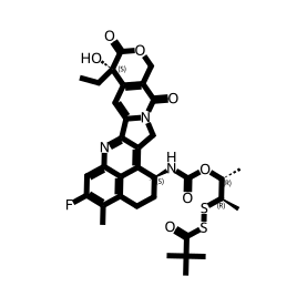 CC[C@@]1(O)C(=O)OCc2c1cc1n(c2=O)Cc2c-1nc1cc(F)c(C)c3c1c2[C@@H](NC(=O)O[C@H](C)[C@@H](C)SSC(=O)C(C)(C)C)CC3